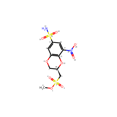 COS(=O)(=O)C[C@H]1COc2cc(S(N)(=O)=O)cc([N+](=O)[O-])c2O1